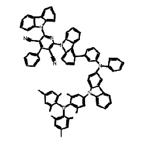 Cc1cc(C)c(B(c2c(C)cc(C)cc2C)c2c(C)cc(-n3c4ccccc4c4cc(N(c5ccccc5)c5cccc(-c6cccc7c6c6ccccc6n7-c6nc(-n7c8ccccc8c8ccccc87)c(C#N)c(-c7ccccc7)c6C#N)c5)ccc43)cc2C)c(C)c1